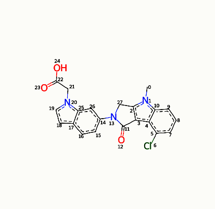 Cn1c2c(c3c(Cl)cccc31)C(=O)N(c1ccc3ccn(CC(=O)O)c3c1)C2